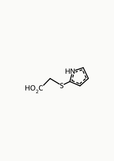 O=C(O)CSc1ccc[nH]1